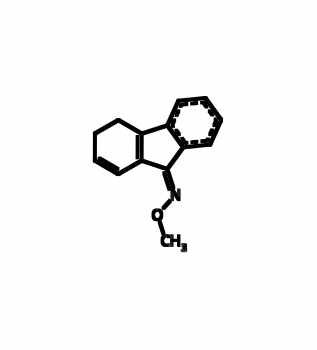 CO/N=C1\C2=C(CCC=C2)c2ccccc21